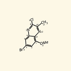 COc1cc(Br)cc2nc(Cl)c(C)nc12